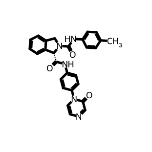 Cc1ccc(NC(=O)N2Cc3ccccc3[C@H]2C(=O)Nc2ccc(-n3ccncc3=O)cc2)cc1